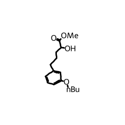 CCCCOc1cccc(CCCC(O)C(=O)OC)c1